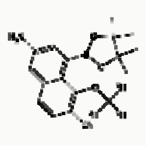 [2H]C([2H])([2H])Oc1c(C#N)ccc2cc(N)cc(B3OC(C)(C)C(C)(C)O3)c12